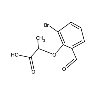 CC(Oc1c(Br)cccc1C=O)C(=O)O